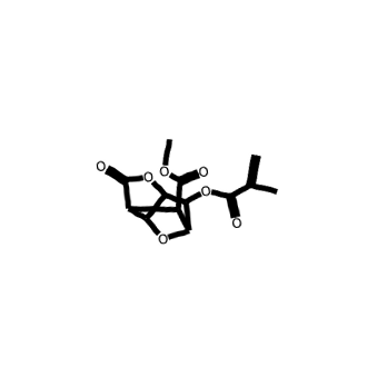 C=C(C)C(=O)OC1C2OC(=O)C3C2OC1C3C(=O)OC